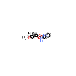 COc1ccc(-c2cc(OC(=O)Nc3ccc(N4CCCCCC4)nc3)ccc2C)cc1